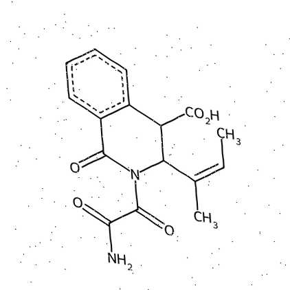 C/C=C(/C)C1C(C(=O)O)c2ccccc2C(=O)N1C(=O)C(N)=O